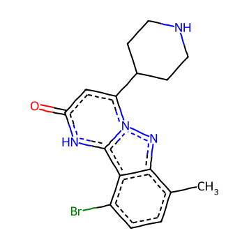 Cc1ccc(Br)c2c1nn1c(C3CCNCC3)cc(=O)[nH]c21